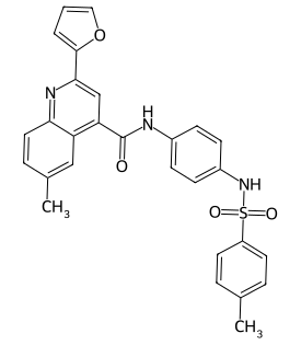 Cc1ccc(S(=O)(=O)Nc2ccc(NC(=O)c3cc(-c4ccco4)nc4ccc(C)cc34)cc2)cc1